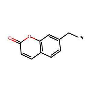 CC(C)Cc1ccc2ccc(=O)oc2c1